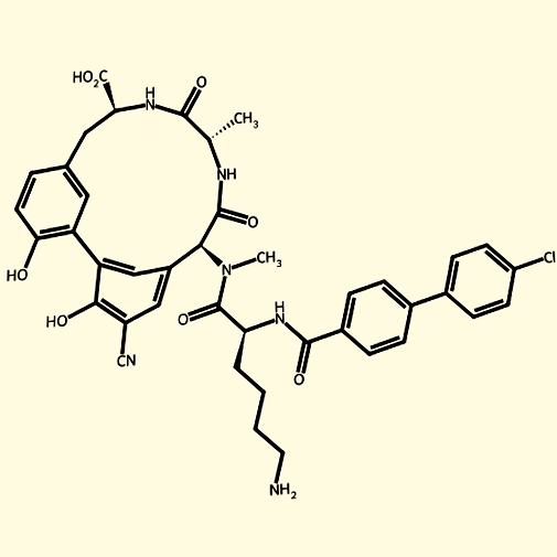 C[C@@H]1NC(=O)[C@@H](N(C)C(=O)[C@H](CCCCN)NC(=O)c2ccc(-c3ccc(Cl)cc3)cc2)c2cc(C#N)c(O)c(c2)-c2cc(ccc2O)C[C@@H](C(=O)O)NC1=O